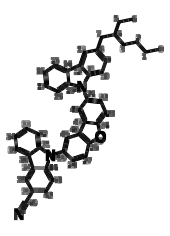 CCCCC(CC)Cc1ccc2c(c1)c1ccccc1n2-c1ccc2oc3ccc(-n4c5ccccc5c5cc(C#N)ccc54)cc3c2c1